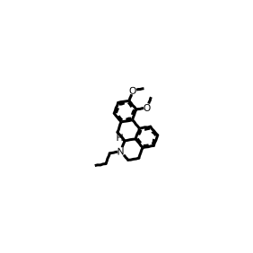 CCCN1CCc2cccc3c2[C@H]1Cc1ccc(OC)c(OC)c1-3